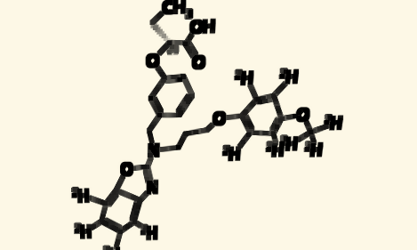 [2H]c1c([2H])c(OC([2H])([2H])[2H])c([2H])c([2H])c1OCCCN(Cc1cccc(O[C@H](CC)C(=O)O)c1)c1nc2c([2H])c([2H])c([2H])c([2H])c2o1